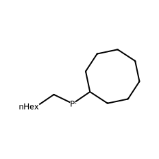 CCCCCCC[P]C1CCCCCCC1